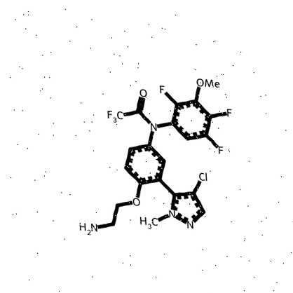 COc1c(F)c(F)cc(N(C(=O)C(F)(F)F)c2ccc(OCCN)c(-c3c(Cl)cnn3C)c2)c1F